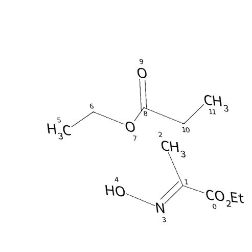 CCOC(=O)C(C)=NO.CCOC(=O)CC